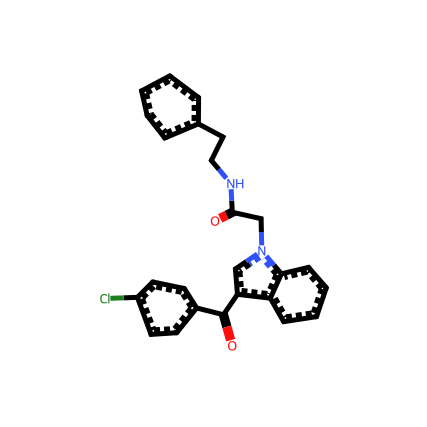 O=C(Cn1cc(C(=O)c2ccc(Cl)cc2)c2ccccc21)NCCc1ccccc1